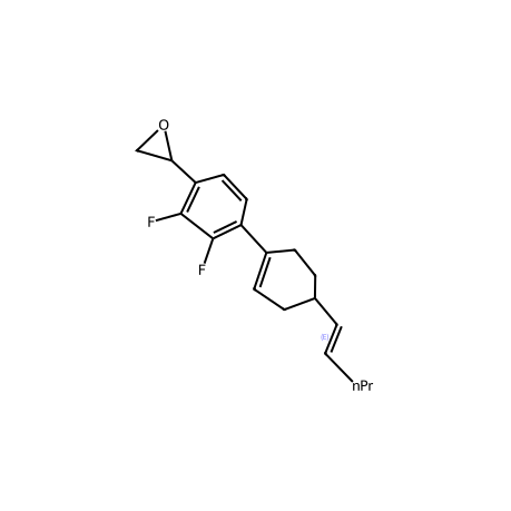 CCC/C=C/C1CC=C(c2ccc(C3CO3)c(F)c2F)CC1